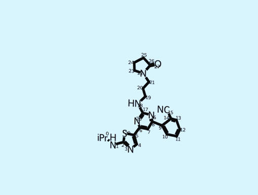 CC(C)Nc1ncc(-c2cc(-c3ccccc3C#N)nc(NCCCN3CCCC3=O)n2)s1